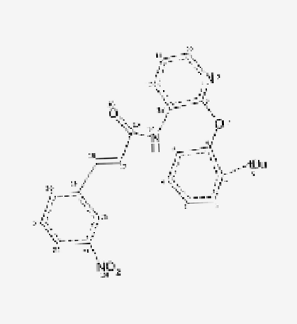 CC(C)(C)c1ccccc1Oc1ncccc1NC(=O)C=Cc1cccc([N+](=O)[O-])c1